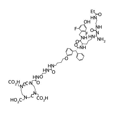 CCC(=O)NCCNC(=O)/N=C(/N)NCCCC(NC(=O)[C@H](c1ccccc1)c1cccc(OCCCCNC(=O)NCCONC(=O)CN2CCN(CC(=O)O)CCN(CC(=O)O)CCN(CC(=O)O)CC2)c1)C(=O)NCc1c(F)cc(O)cc1F